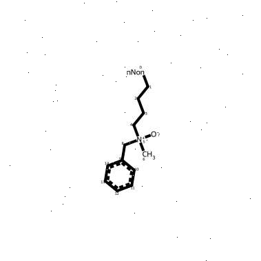 CCCCCCCCCCCCC[N+](C)([O-])Cc1ccccc1